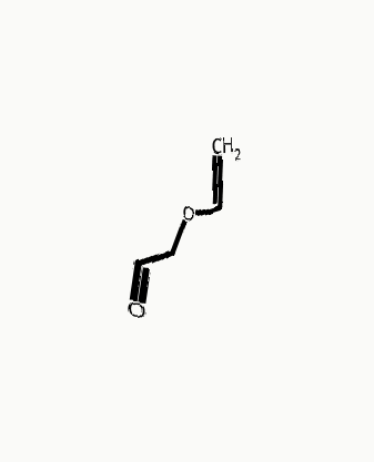 C=COCC=O